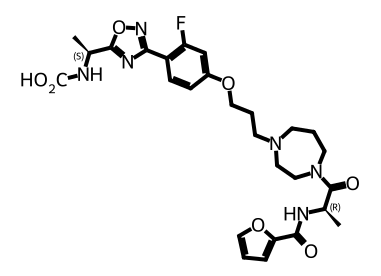 C[C@H](NC(=O)O)c1nc(-c2ccc(OCCCN3CCCN(C(=O)[C@@H](C)NC(=O)c4ccco4)CC3)cc2F)no1